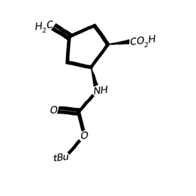 C=C1C[C@H](NC(=O)OC(C)(C)C)[C@H](C(=O)O)C1